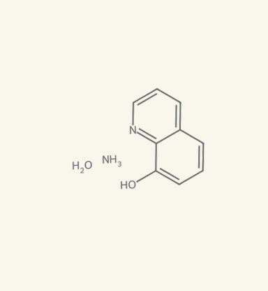 N.O.Oc1cccc2cccnc12